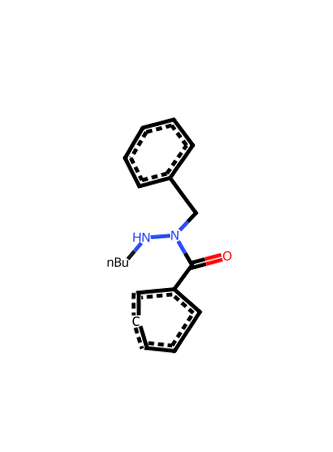 CCCCNN(Cc1ccccc1)C(=O)c1ccccc1